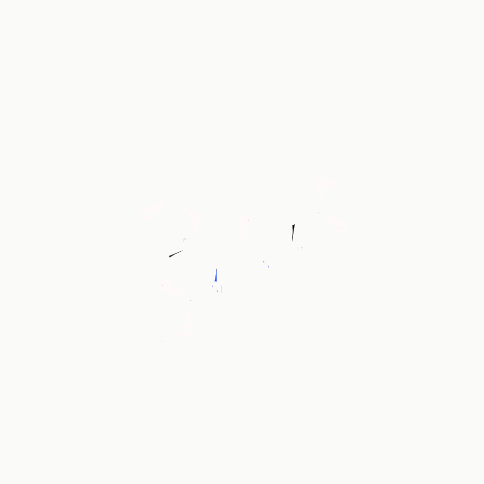 C[C@@H](OC(=O)c1ccccc1)[C@H](NC(=O)OC(C)(C)C)C(=O)N1Cc2ccccc2C[C@@H]1CC(=O)O